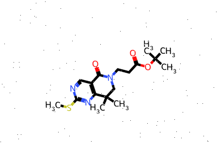 CSc1ncc2c(n1)C(C)(C)CN(CCC(=O)OC(C)(C)C)C2=O